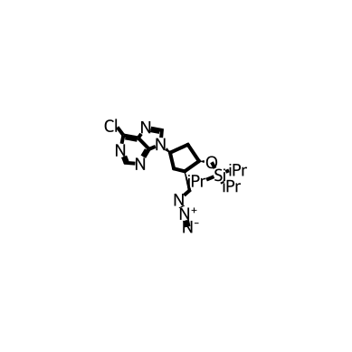 CC(C)[Si](O[C@H]1C[C@H](n2cnc3c(Cl)ncnc32)C[C@@H]1CN=[N+]=[N-])(C(C)C)C(C)C